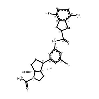 CC(=O)N1CC[C@H]2[C@H]1CCN2c1cc(F)cc(NC(=O)C2Cc3c(F)ccc(C)c3N2)c1